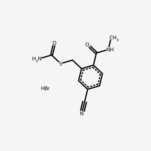 Br.CNC(=O)c1ccc(C#N)cc1CSC(N)=O